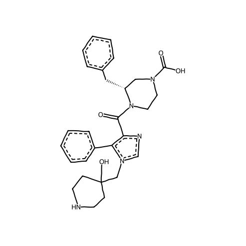 O=C(O)N1CCN(C(=O)c2ncn(CC3(O)CCNCC3)c2-c2ccccc2)[C@H](Cc2ccccc2)C1